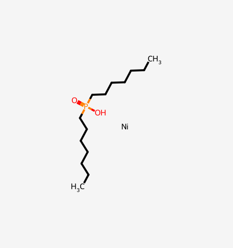 CCCCCCCP(=O)(O)CCCCCCC.[Ni]